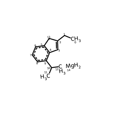 CCC1=Cc2c(cccc2C(C)C)[CH]1.[MgH2]